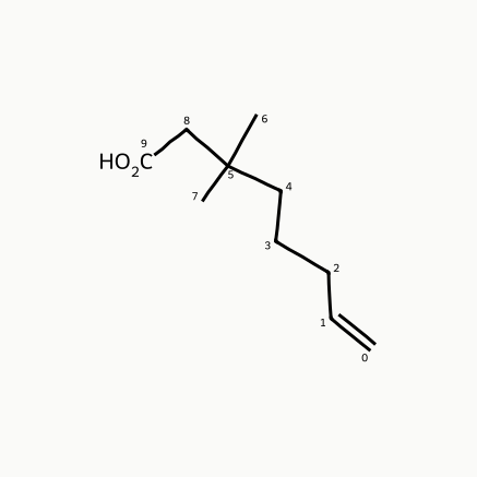 C=CCCCC(C)(C)CC(=O)O